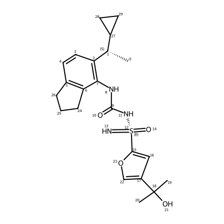 C[C@H](c1ccc2c(c1NC(=O)N[S@](=N)(=O)c1cc(C(C)(C)O)co1)CCC2)C1CC1